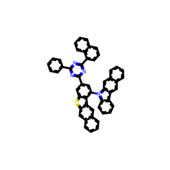 c1ccc(-c2nc(-c3cc(-n4c5ccccc5c5cc6ccccc6cc54)c4c(c3)sc3cc5ccccc5cc34)nc(-c3cccc4ccccc34)n2)cc1